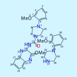 COc1ccccc1N1CCN(C(=O)Nc2nc3ccccc3nc2OC)CC1.COc1ccccc1N1CCNCC1